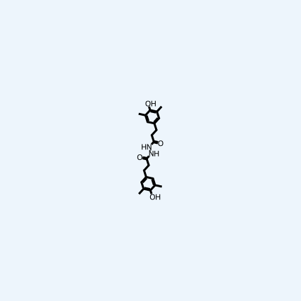 Cc1cc(CCC(=O)NNC(=O)CCc2cc(C)c(O)c(C)c2)cc(C)c1O